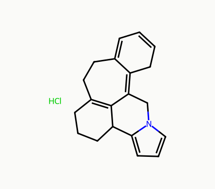 C1=CCC2=C3Cn4cccc4C4CCCC(=C34)CCC2=C1.Cl